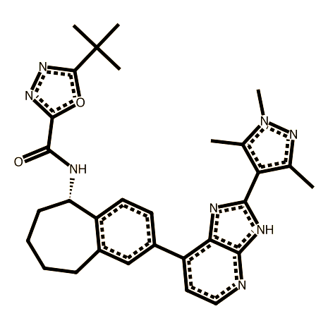 Cc1nn(C)c(C)c1-c1nc2c(-c3ccc4c(c3)CCCC[C@@H]4NC(=O)c3nnc(C(C)(C)C)o3)ccnc2[nH]1